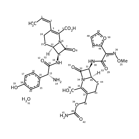 C/C=C\C1=C(C(=O)O)N2C(=O)[C@@H](NC(=O)[C@H](N)c3ccc(O)cc3)[C@H]2SC1.CO/N=C(\C(=O)N[C@@H]1C(=O)N2C(C(=O)O)=C(COC(N)=O)CS[C@H]12)c1ccco1.O